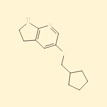 c1nc2c(cc1OCC1CCCC1)CCN2